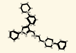 c1ccc(N2CCN(CCNCc3nn(-c4ccccc4)cc3-c3cccc(N4CCCCC4)c3)CC2)cc1